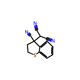 N#CC(C#N)C1(C#N)CCSc2ccccc21